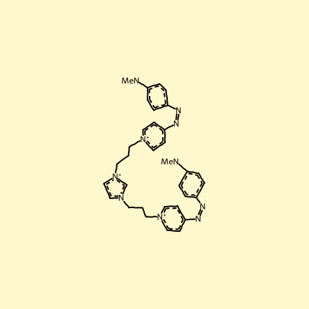 CNc1ccc(/N=N\c2cc[n+](CCCn3cc[n+](CCC[n+]4ccc(/N=N\c5ccc(NC)cc5)cc4)c3)cc2)cc1